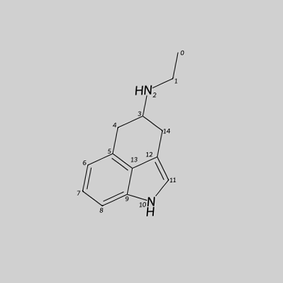 CCNC1Cc2cccc3[nH]cc(c23)C1